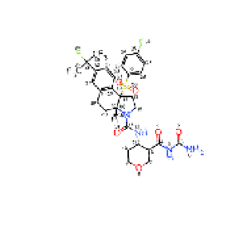 NC(=O)NC(=O)C1COCCC1NC(=O)N1CC[C@@]2(S(=O)(=O)c3ccc(F)cc3)c3ccc(C(F)(C(F)(F)F)C(F)(F)F)cc3CC[C@@H]12